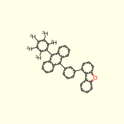 [2H]c1c([2H])c([2H])c(-c2c3ccccc3c(-c3cccc(-c4cccc5oc6ccccc6c45)c3)c3ccccc23)c([2H])c1[2H]